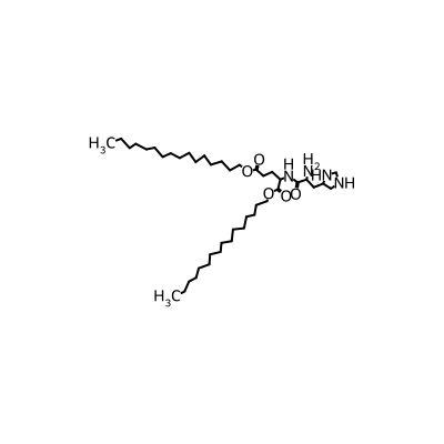 CCCCCCCCCCCCCCCCOC(=O)CCC(NC(=O)C(N)CC1CNCN1)C(=O)OCCCCCCCCCCCCCCCC